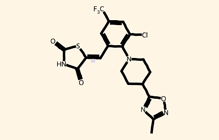 Cc1noc(C2CCN(c3c(Cl)cc(C(F)(F)F)cc3/C=C3\SC(=O)NC3=O)CC2)n1